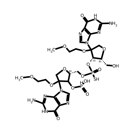 COCCOC1(n2cnc3c(=O)[nH]c(N)nc32)CO[C@H](COP(=O)(S)O[C@H]2[C@@H](CO)OCC2(OCCOC)n2cnc3c(=O)[nH]c(N)nc32)C1O[PH](=O)O